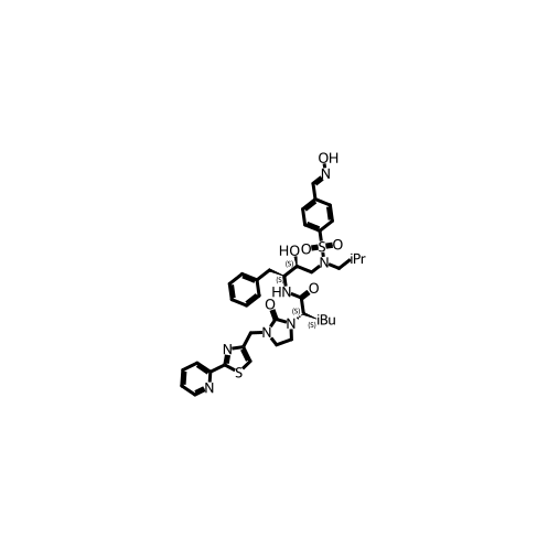 CC[C@H](C)[C@@H](C(=O)N[C@@H](Cc1ccccc1)[C@@H](O)CN(CC(C)C)S(=O)(=O)c1ccc(C=NO)cc1)N1CCN(Cc2csc(-c3ccccn3)n2)C1=O